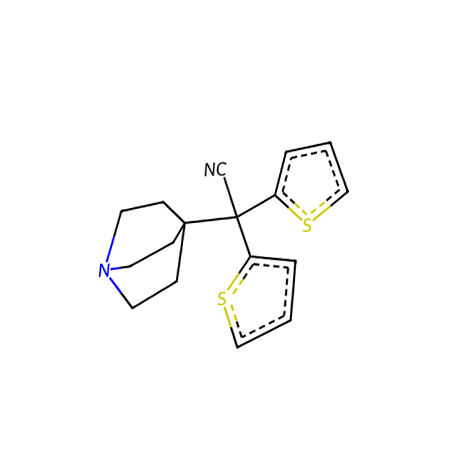 N#CC(c1cccs1)(c1cccs1)C12CCN(CC1)CC2